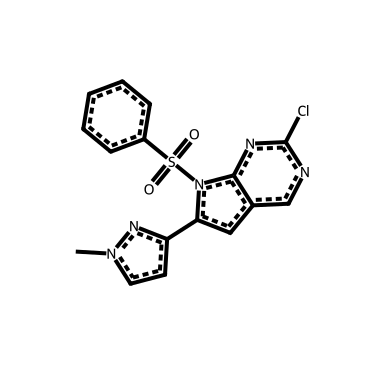 Cn1ccc(-c2cc3cnc(Cl)nc3n2S(=O)(=O)c2ccccc2)n1